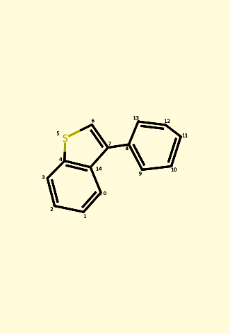 [c]1cccc2scc(-c3ccccc3)c12